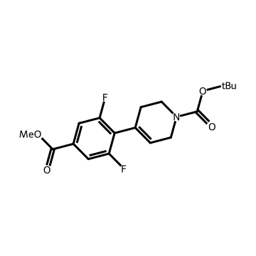 COC(=O)c1cc(F)c(C2=CCN(C(=O)OC(C)(C)C)CC2)c(F)c1